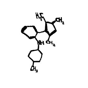 CC1=CC(C)C(C)=C1c1ccccc1NC1CCC(C)CC1